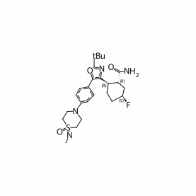 CN=S1(=O)CCN(c2ccc(-c3oc(C(C)(C)C)nc3[C@@H]3CC[C@H](F)C[C@H]3C(N)=O)cc2)CC1